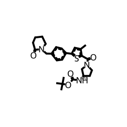 Cc1cc(-c2ccc(CN3CCCCC3=O)cc2)sc1C(=O)N1CC[C@H](NC(=O)OC(C)(C)C)C1